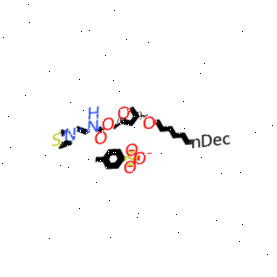 CCCCCCCCCCCCCCCCOC[C@H]1CO[C@H](COC(=O)NCC[n+]2ccsc2)C1.Cc1ccc(S(=O)(=O)[O-])cc1